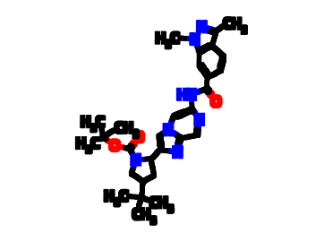 Cc1nn(C)c2cc(C(=O)Nc3cn4cc(C5CC(C(C)(C)C)CN5C(=O)OC(C)(C)C)nc4cn3)ccc12